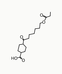 CCC(=O)OCCCCCCC(=O)C1CCC(C(=O)O)CC1